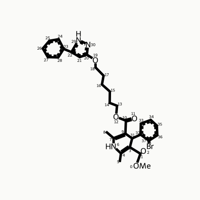 COC(=O)C1=C(C)NC(C)=C(C(=O)OCCCCCCOc2cc(-c3ccccc3)[nH]n2)C1c1ccccc1Br